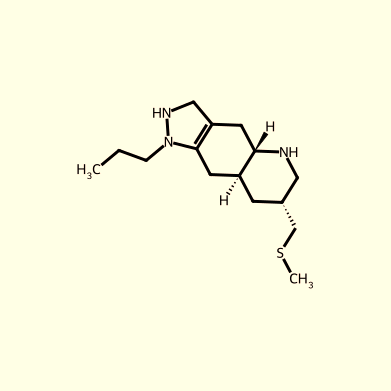 CCCN1NCC2=C1C[C@@H]1C[C@@H](CSC)CN[C@H]1C2